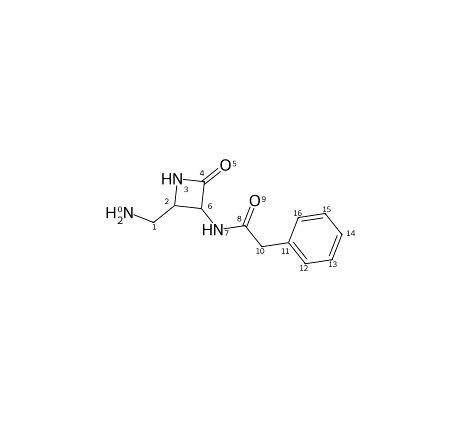 NCC1NC(=O)C1NC(=O)Cc1ccccc1